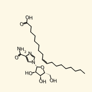 CCCCCCCC/C=C\CCCCCCCC(=O)O.NC(=O)c1cn([C@@H]2O[C@H](CO)[C@@H](O)[C@H]2O)cn1